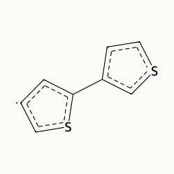 [c]1csc(-c2ccsc2)c1